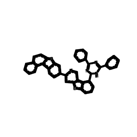 c1ccc(C2=NC(c3cccc4oc5cc(-c6ccc7c(c6)oc6ccc8ccccc8c67)ncc5c34)NC(c3ccccc3)=N2)cc1